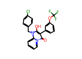 O=c1c(-c2cccc(OC(F)(F)F)c2)c(O)n(Cc2ccc(Cl)cc2)c2cccc[n+]12